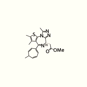 COC(=O)C[C@@H]1N=C(C2=CC=CC(C)C=C2)c2c(sc(C)c2C)-n2c(C)nnc21